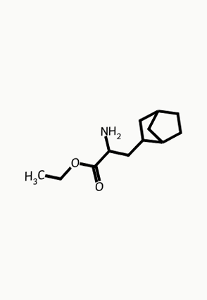 CCOC(=O)C(N)CC1CC2CCC1C2